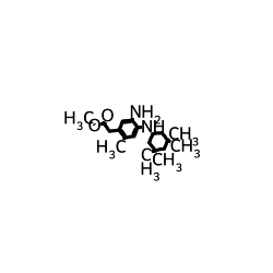 COC(=O)Cc1cc(N)c(NC2CC(C)(C)CC(C)(C)C2)cc1C